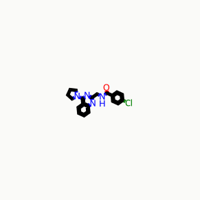 O=C(NCc1nc(N2CCCC2)c2ccccc2n1)c1ccc(Cl)cc1